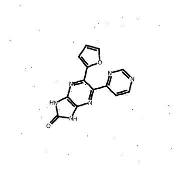 O=c1[nH]c2nc(-c3ccncn3)c(-c3ccco3)nc2[nH]1